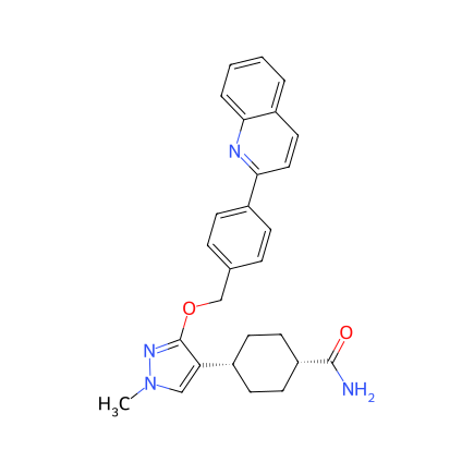 Cn1cc([C@H]2CC[C@@H](C(N)=O)CC2)c(OCc2ccc(-c3ccc4ccccc4n3)cc2)n1